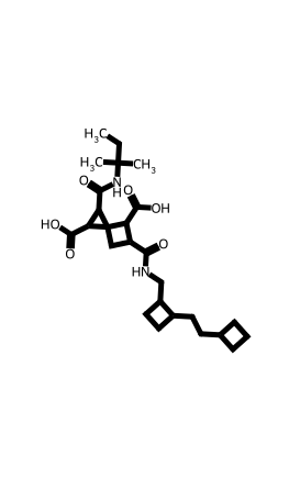 CCC(C)(C)NC(=O)C1C(C(=O)O)C12CC(C(=O)NCC1CCC1CCC1CCC1)C2C(=O)O